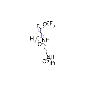 C/C(=C\C=C(\F)COC(F)(F)F)NC(=O)CCCCN[S+]([O-])C(C)C